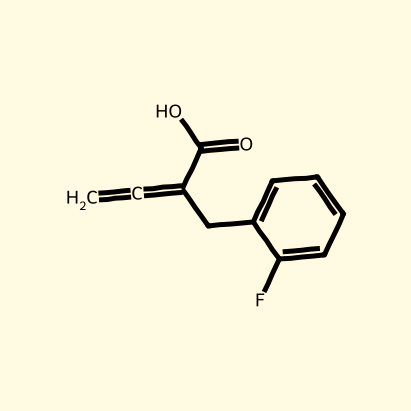 C=C=C(Cc1ccccc1F)C(=O)O